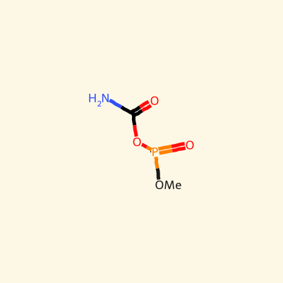 CO[P](=O)OC(N)=O